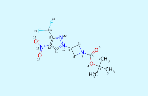 CC(C)(C)OC(=O)N1CC(n2cc([N+](=O)[O-])c(C(F)F)n2)C1